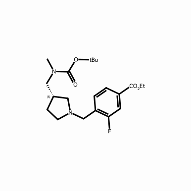 CCOC(=O)c1ccc(CN2CC[C@H](CN(C)C(=O)OC(C)(C)C)C2)c(F)c1